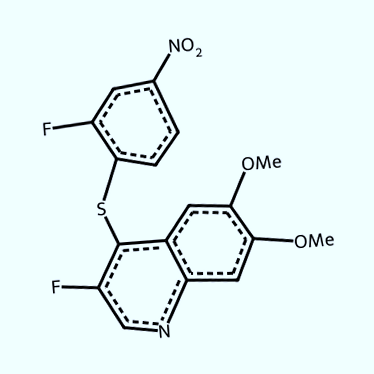 COc1cc2ncc(F)c(Sc3ccc([N+](=O)[O-])cc3F)c2cc1OC